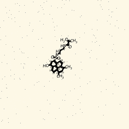 C=C(C)C(=O)NCCCNS(=O)(=O)c1cc(O)c2ccc3c(C)cc(C)c4ccc1c2c34